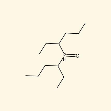 CCCC(CC)[PH](=O)C(CC)CCC